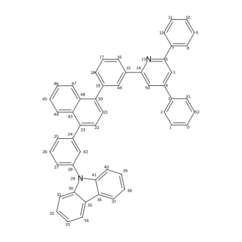 c1ccc(-c2cc(-c3ccccc3)nc(-c3cccc(-c4ccc(-c5cccc(-n6c7ccccc7c7ccccc76)c5)c5ccccc45)c3)c2)cc1